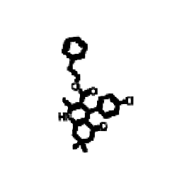 CC1=C(C(=O)OCCc2ccccc2)C(c2ccc(Cl)cc2)C2=C(CC(C)(C)CC2=O)N1